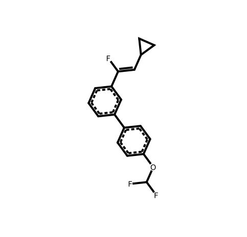 FC(=CC1CC1)c1cccc(-c2ccc(OC(F)F)cc2)c1